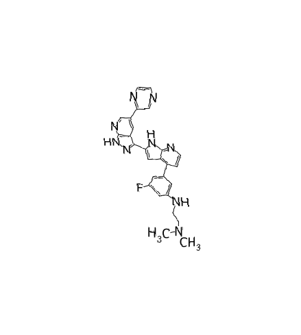 CN(C)CCNc1cc(F)cc(-c2ccnc3[nH]c(-c4n[nH]c5ncc(-c6cnccn6)cc45)cc23)c1